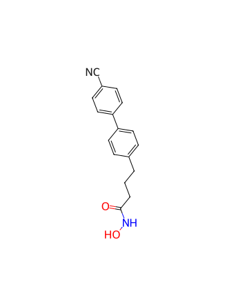 N#Cc1ccc(-c2ccc(CCCC(=O)NO)cc2)cc1